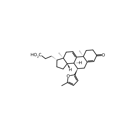 Cc1ccc([C@@H]2CC3=CC(=O)CC[C@]3(C)C3=CC[C@]4(C)[C@@H](CCC(=O)O)CC[C@H]4[C@@H]32)o1